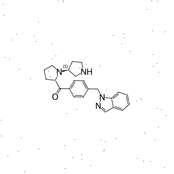 O=C(c1ccc(Cn2ncc3ccccc32)cc1)C1CCCN1[C@H]1CCNC1